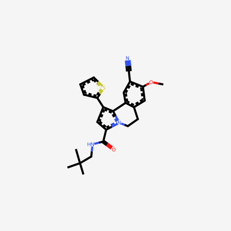 COc1cc2c(cc1C#N)-c1c(-c3cccs3)cc(C(=O)NCC(C)(C)C)n1CC2